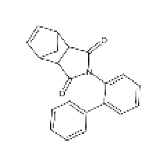 O=C1C2C3C=CC(C3)C2C(=O)N1c1ccccc1-c1ccccc1